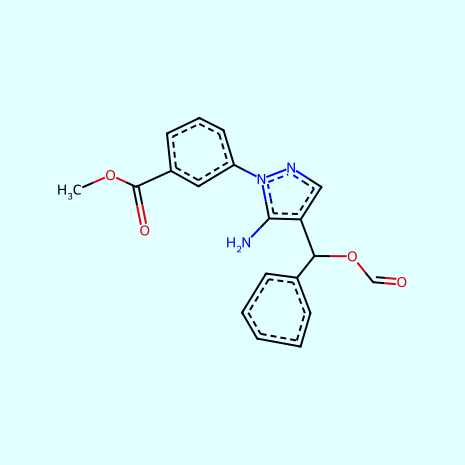 COC(=O)c1cccc(-n2ncc(C(OC=O)c3ccccc3)c2N)c1